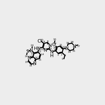 CCc1cc(Nc2ncc(Cl)c(Nc3ccc4nccnc4c3N(C)SC)n2)c(OC)cc1N1CCN(C)CC1